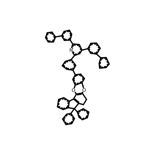 c1ccc(-c2cccc(-c3cc(-c4cccc(-c5ccccc5)c4)nc(-c4cccc(-c5ccc6c(c5)OC5=C(CCC7=C5c5ccccc5C7(c5ccccc5)c5ccccc5)O6)c4)c3)c2)cc1